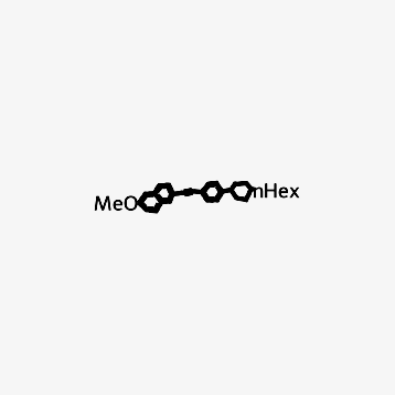 CCCCCCC1CCC(c2ccc(C#Cc3ccc4cc(OC)ccc4c3)cc2)CC1